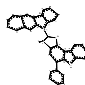 CN1c2cc(-c3ccccc3)c3oc4ccccc4c3c2SC1n1c2ccccc2c2cc3ccccc3cc21